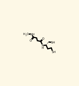 CNC(=O)CCC(=O)N[C@H](CS)CCS